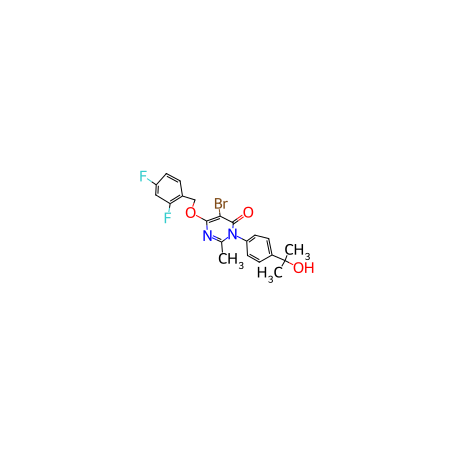 Cc1nc(OCc2ccc(F)cc2F)c(Br)c(=O)n1-c1ccc(C(C)(C)O)cc1